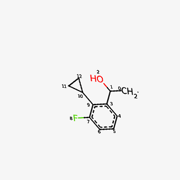 [CH2]C(O)c1cccc(F)c1C1CC1